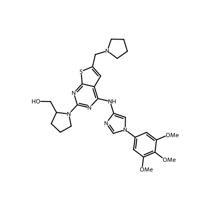 COc1cc(-n2cnc(Nc3nc(N4CCCC4CO)nc4sc(CN5CCCC5)cc34)c2)cc(OC)c1OC